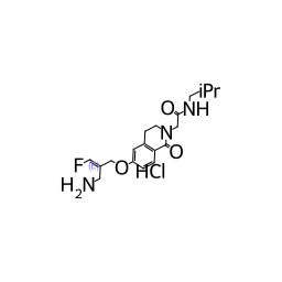 CC(C)CNC(=O)CN1CCc2cc(OC/C(=C/F)CN)ccc2C1=O.Cl